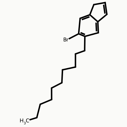 CCCCCCCCCCc1cc2c(cc1Br)CC=C2